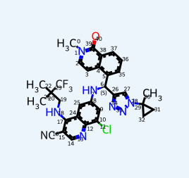 Cn1ccc2c([C@H](Nc3cc(Cl)c4ncc(C#N)c(NCC(C)(C)C(F)(F)F)c4c3)c3cn(C4(C)CC4)nn3)cccc2c1=O